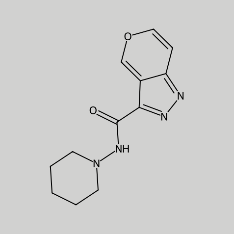 O=C(NN1CCCCC1)c1nnc2ccocc1-2